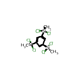 C[Si](Cl)(Cl)c1cc([Si](C)(Cl)Cl)cc([Si](C)(Cl)Cl)c1